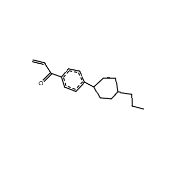 C=CC(=O)c1ccc(C2CCC(CCC)CC2)cc1